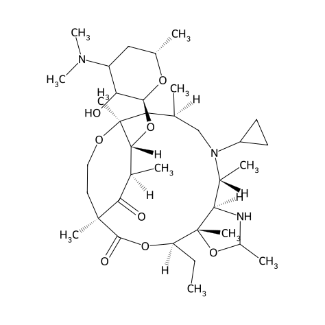 CC[C@H]1OC(=O)[C@@]2(C)CCO[C@@](C)(C[C@@H](C)CN(C3CC3)[C@H](C)[C@H]3NC(C)O[C@@]31C)[C@H](O[C@@H]1O[C@@H](C)CC(N(C)C)C1O)[C@@H](C)C2=O